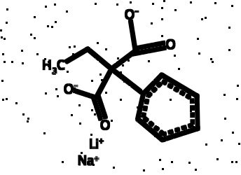 CCC(C(=O)[O-])(C(=O)[O-])c1ccccc1.[Li+].[Na+]